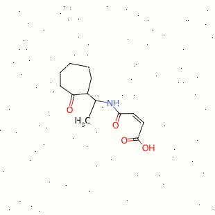 CC(NC(=O)/C=C\C(=O)O)C1CCCCCC1=O